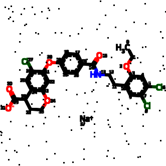 CCOc1cc(Cl)c(Cl)cc1CCNC(=O)c1ccc(Oc2cc3c(cc2Cl)C(C(=O)[O-])CCO3)cc1.[Na+]